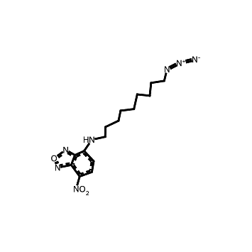 [N-]=[N+]=NCCCCCCCCCNc1ccc([N+](=O)[O-])c2nonc12